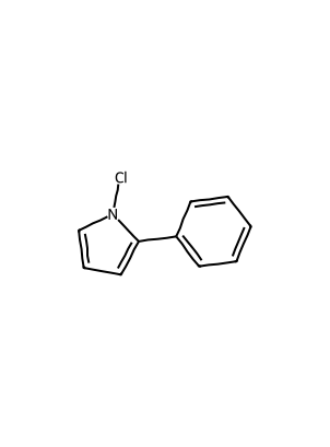 Cln1cccc1-c1ccccc1